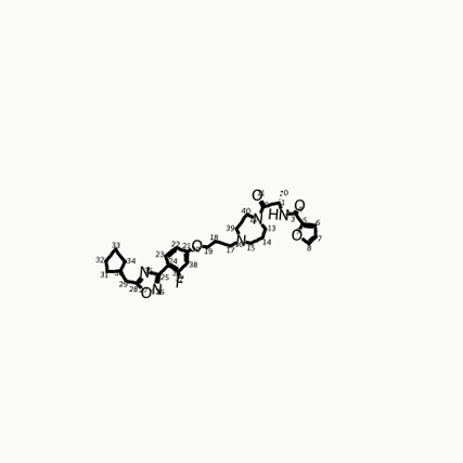 C[C@H](NC(=O)c1ccco1)C(=O)N1CCCN(CCCOc2ccc(-c3noc(CC4CCCC4)n3)c(F)c2)CC1